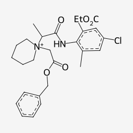 CCOC(=O)c1cc(Cl)cc(C)c1NC(=O)C(C)[N+]1(CC(=O)OCc2ccccc2)CCCCC1